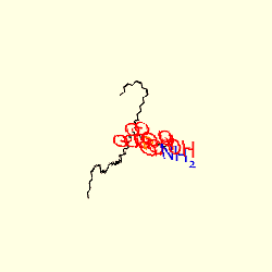 CC/C=C\C/C=C\C/C=C\CCCCCCCC(=O)O[C@H](COC(=O)CCCC/C=C\C/C=C\C/C=C\CCCCC)COP(=O)(O)OC[C@H](N)C(=O)O